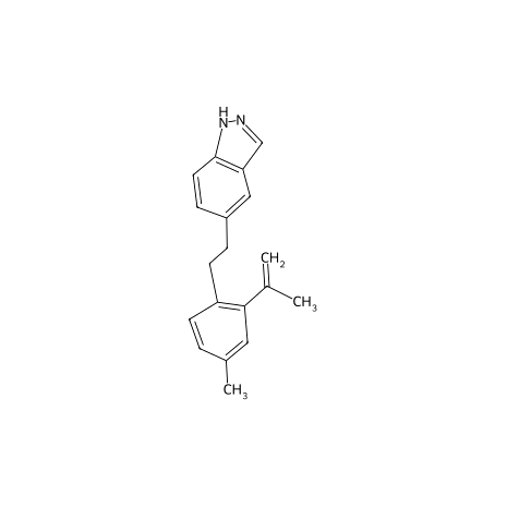 C=C(C)c1cc(C)ccc1CCc1ccc2[nH]ncc2c1